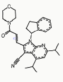 CC(C)c1cc(C(C)C)c2c(C#N)c(/C=C/C(=O)N3CCOCC3)n(C3CCc4ccccc43)c2n1